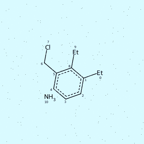 CCc1cccc(CCl)c1CC.N